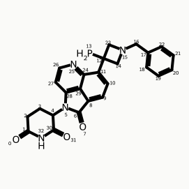 O=C1CCC(N2C(=O)c3ccc(C4(P)CN(Cc5ccccc5)C4)c4nccc2c34)C(=O)N1